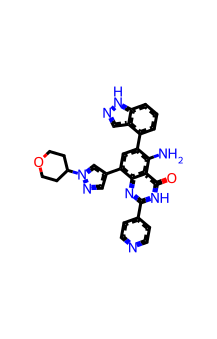 Nc1c(-c2cccc3[nH]ncc23)cc(-c2cnn(C3CCOCC3)c2)c2nc(-c3ccncc3)[nH]c(=O)c12